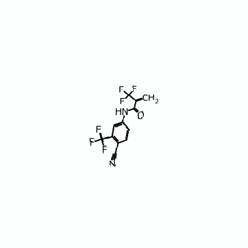 C=C(C(=O)Nc1ccc(C#N)c(C(F)(F)F)c1)C(F)(F)F